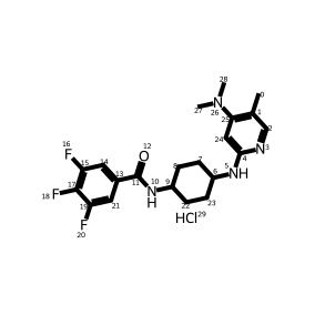 Cc1cnc(NC2CCC(NC(=O)c3cc(F)c(F)c(F)c3)CC2)cc1N(C)C.Cl